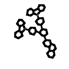 c1ccc2c(c1)ccc1cc(-c3ccc(-c4ccc(-n5c6ccccc6c6ccccc65)cc4)c(-c4ccc(-n5c6ccccc6c6ccccc65)cc4)c3)ccc12